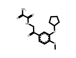 COc1ccc(C(=O)CNC(=O)C(N)=O)cc1OC1CCCC1